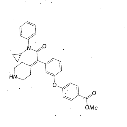 COC(=O)c1ccc(Oc2cccc(C(C(=O)N(c3ccccc3)C3CC3)=C3CCNCC3)c2)cc1